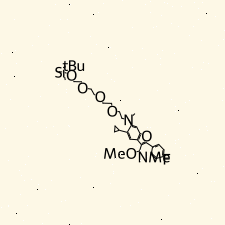 CNC(OC)c1c(-c2ccc(F)cc2)oc2cc(N(C)CCOCCOCCOCCO[Si](C)(C)C(C)(C)C)c(C3CC3)cc12